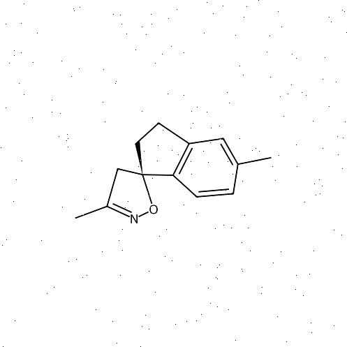 CC1=NO[C@]2(CCc3cc(C)ccc32)C1